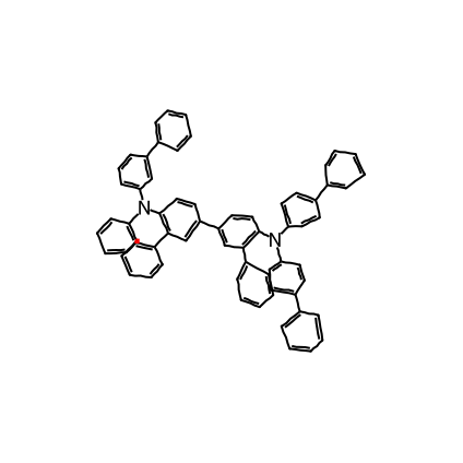 c1ccc(-c2ccc(N(c3ccc(-c4ccccc4)cc3)c3ccc(-c4ccc(N(c5ccccc5)c5cccc(-c6ccccc6)c5)c(-c5ccccc5)c4)cc3-c3ccccc3)cc2)cc1